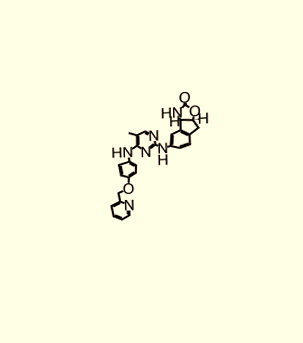 Cc1cnc(Nc2ccc3c(c2)[C@H]2NC(=O)O[C@H]2C3)nc1Nc1ccc(OCc2ccccn2)cc1